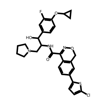 O=C(NC(CN1CCCC1)C(O)c1ccc(OC2CC2)c(F)c1)C1=NOCc2cc(-c3ccc(Cl)s3)ccc21